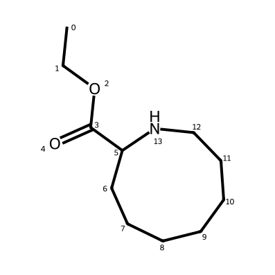 CCOC(=O)C1CCCCCCCN1